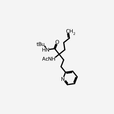 C=CCCC(CCc1ccccn1)(NC(C)=O)C(=O)NC(C)(C)C